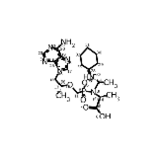 CC(C)N([C@@H](C)C(=O)O)P(=O)(CO[C@H](C)Cn1cnc2c(N)ncnc21)ON=C1CCCCC1